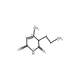 CCCC1C(=O)NC(=O)C=C1C